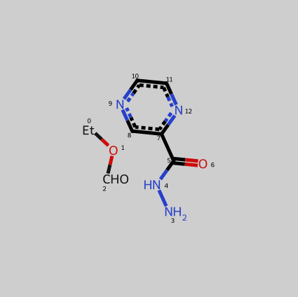 CCOC=O.NNC(=O)c1cnccn1